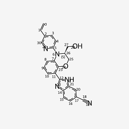 C=Cc1ccc(N2c3cccc(-c4nc5ccc(C#N)cc5[nH]4)c3OC[C@@H]2CO)nc1